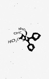 COCn1c(-c2ccccc2)c(-c2ccccc2)c2sc(C(=O)O)c(C=O)c21